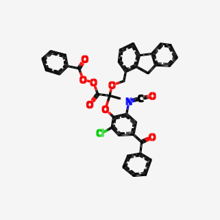 CC(OCc1cccc2c1Cc1ccccc1-2)(Oc1c(Cl)cc(C(=O)c2ccccc2)cc1N=C=O)C(=O)OOC(=O)c1ccccc1